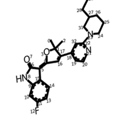 CC1(C)OC(=C2C(=O)Nc3cc(F)ccc32)C=C1c1ccnc(N2CCCC(CCO)C2)c1